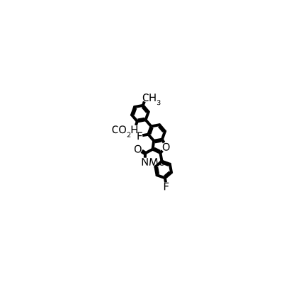 CNC(=O)c1c(-c2ccc(F)cc2)oc2ccc(-c3cc(C)ccc3C(=O)O)c(F)c12